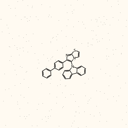 c1ccc(-c2ccc(-c3nc4sccn4c3-n3c4ccccc4c4ccccc43)cc2)cc1